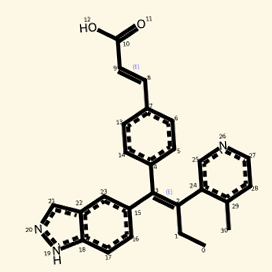 CC/C(=C(/c1ccc(/C=C/C(=O)O)cc1)c1ccc2[nH]ncc2c1)c1cnccc1C